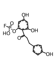 O=C(CCc1ccc(O)cc1)c1c(O)cc(O)cc1OP(=O)(O)F